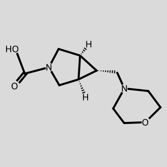 O=C(O)N1C[C@@H]2[C@@H](CN3CCOCC3)[C@@H]2C1